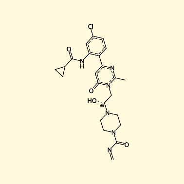 C=NC(=O)N1CCN([C@H](O)Cn2c(C)nc(-c3ccc(Cl)cc3NC(=O)C3CC3)cc2=O)CC1